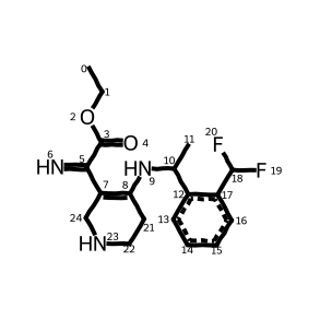 CCOC(=O)C(=N)C1=C(NC(C)c2ccccc2C(F)F)CCNC1